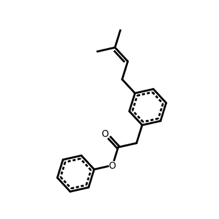 CC(C)=CCc1cccc(CC(=O)Oc2ccccc2)c1